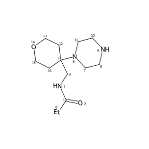 CCC(=O)NCC1(N2CCNCC2)CCOCC1